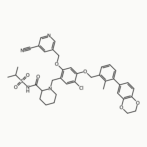 Cc1c(COc2cc(OCc3cncc(C#N)c3)c(CN3CCCCC3C(=O)NS(=O)(=O)C(C)C)cc2Cl)cccc1-c1ccc2c(c1)OCCO2